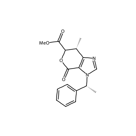 COC(=O)C1OC(=O)c2c(ncn2[C@H](C)c2ccccc2)[C@H]1C